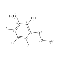 CCCOOc1c(C)c(C)c(C)c(C(=O)O)c1O